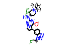 [2H]C([2H])([2H])N1CC[C@@H](Nc2nc(OC)c3c(-c4ccc5nnn([C@H](C)CF)c5c4)ccn3n2)C(F)(F)C1